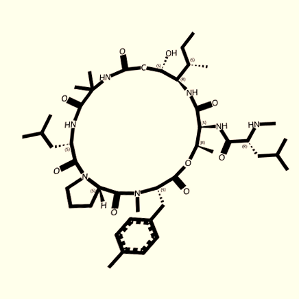 CC[C@H](C)[C@H]1NC(=O)[C@@H](NC(=O)[C@@H](CC(C)C)NC)[C@@H](C)OC(=O)[C@H](Cc2ccc(C)cc2)N(C)C(=O)[C@@H]2CCCN2C(=O)[C@H](CC(C)C)NC(=O)C(C)(C)NC(=O)C[C@@H]1O